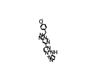 COc1ccc(Cc2nnc3cc(-c4ccnc(Nc5ccnn5C)n4)ncn23)cc1